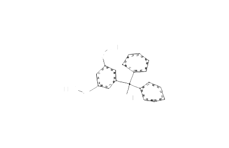 COc1cc(OC)cc(C(C)(c2ccccc2)c2ccccc2)c1